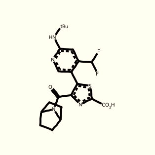 CC(C)(C)Nc1cc(C(F)F)c(-c2sc(C(=O)O)nc2C(=O)N2C3CCC2CC3)cn1